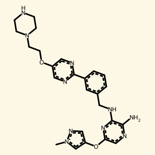 Cn1cc(Oc2cnc(N)c(NCc3cccc(-c4ncc(OCCN5CCNCC5)cn4)c3)n2)cn1